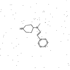 CN(C=Cc1ccccc1)C1CCNCC1